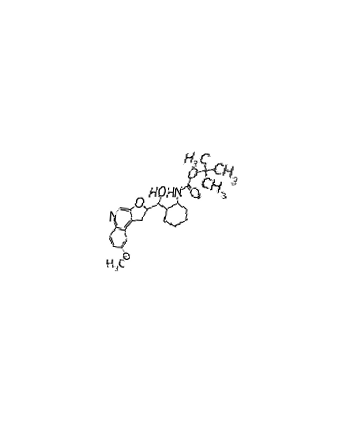 COc1ccc2ncc3c(c2c1)CC(C(O)C1CCCCC1NC(=O)OC(C)(C)C)O3